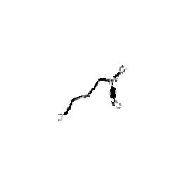 O=[N+]([O-])C[CH]CCl